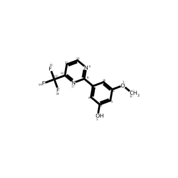 COc1cc(O)cc(-c2nccc(C(F)(F)F)n2)c1